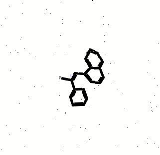 F/C(=C/c1cccc2ccccc12)c1ccccc1